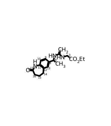 C=C(NCC(=O)OCC)NC(C)c1ccc2c(c1)CCCC(=O)N2